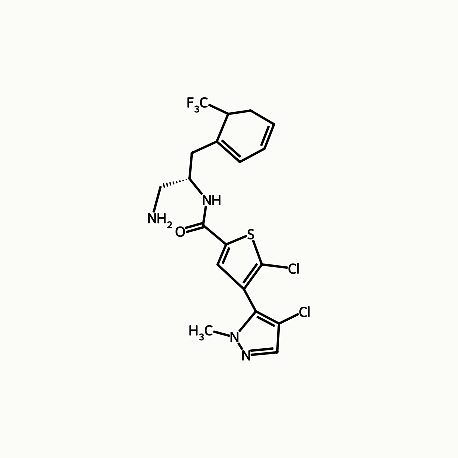 Cn1ncc(Cl)c1-c1cc(C(=O)N[C@H](CN)CC2=CC=CCC2C(F)(F)F)sc1Cl